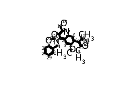 COc1cc2c(cc1-c1c(C)noc1C)nc(C=O)c1oc(=O)n(Cc3ccccc3)c12